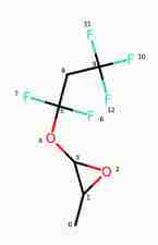 CC1OC1OC(F)(F)CC(F)(F)F